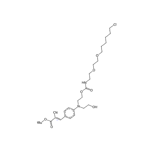 CC(C)(C)OC(=O)/C(C#N)=C/c1ccc(N(CCO)CCOC(=O)NCCOCCOCCCCCCCl)cc1